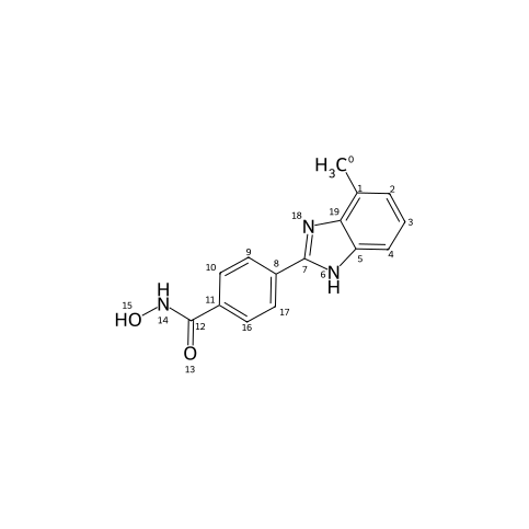 Cc1cccc2[nH]c(-c3ccc(C(=O)NO)cc3)nc12